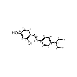 CCN(CC)c1ccc(N=Nc2ccc(O)cc2O)cc1